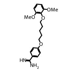 COc1cccc(OC)c1OCCCCCOc1ccc(C(=N)N)cc1